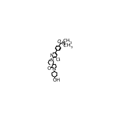 CN(C)C(=O)c1ccc(-c2cnc(N3CCC[C@@]4(CCN(C5CCC(O)CC5)C4=O)C3)c(Cl)c2)cc1